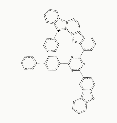 c1ccc(-c2ccc(-c3nc(-c4ccc5oc6ccccc6c5c4)nc(-c4cccc5c4sc4c5ccc5c6ccccc6n(-c6ccccc6)c54)n3)cc2)cc1